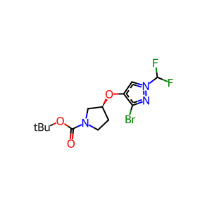 CC(C)(C)OC(=O)N1CC[C@H](Oc2cn(C(F)F)nc2Br)C1